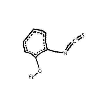 CCOc1ccccc1N=C=S